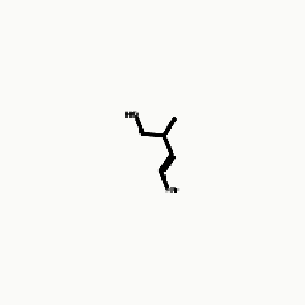 [CH2]CCC=CC(C)CO